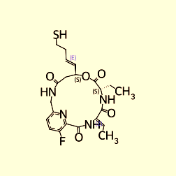 C/C=C1\NC(=O)c2nc(ccc2F)CNC(=O)C[C@@H](/C=C/CCS)OC(=O)[C@H](CC)NC1=O